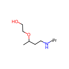 CC(C)NCCC(C)OCCO